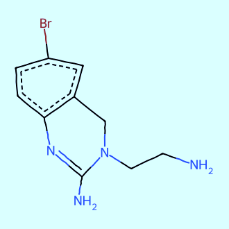 NCCN1Cc2cc(Br)ccc2N=C1N